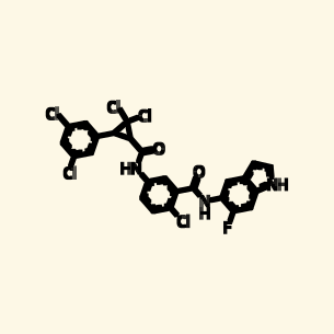 O=C(Nc1cc2cc[nH]c2cc1F)c1cc(NC(=O)C2C(c3cc(Cl)cc(Cl)c3)C2(Cl)Cl)ccc1Cl